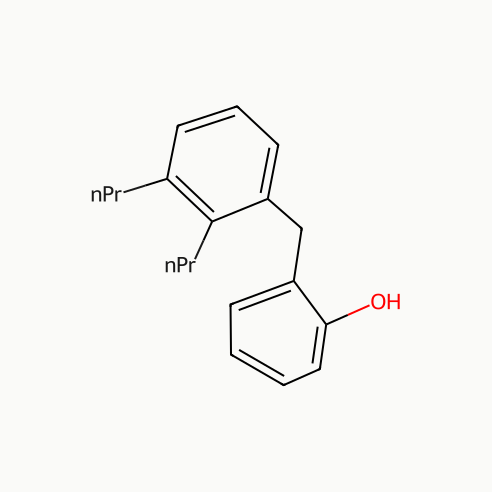 CCCc1cccc(Cc2ccccc2O)c1CCC